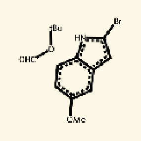 CC(C)(C)OC=O.COc1ccc2[nH]c(Br)cc2c1